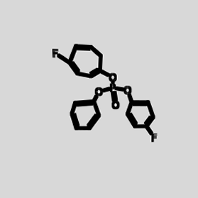 O=P(OC1=CC=C(F)C=CC1)(Oc1ccccc1)Oc1ccc(F)cc1